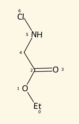 CCOC(=O)CNCl